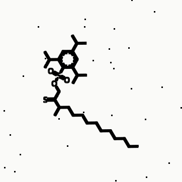 CCCCCCCCCCCC(C)C(=S)COS(=O)(=O)c1c(C(C)C)cc(C(C)C)cc1C(C)C